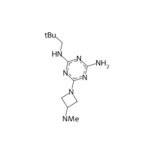 CNC1CN(c2nc(N)nc(NCC(C)(C)C)n2)C1